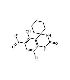 O=C1Nc2c(Cl)cc([N+](=O)[O-])c(O)c2C2(CCCCC2)N1